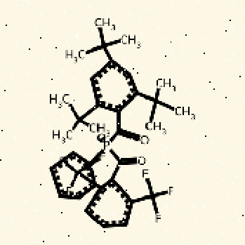 CC(C)(C)c1cc(C(C)(C)C)c(C(=O)P(=O)(C(=O)c2c(C(F)(F)F)cccc2C(F)(F)F)c2ccccc2)c(C(C)(C)C)c1